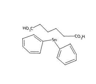 O=C(O)CCCCC(=O)O.c1cc[c]([Sn][c]2ccccc2)cc1